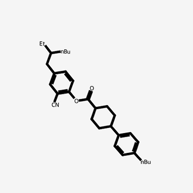 CCCCc1ccc(C2CCC(C(=O)Oc3ccc(CC(CC)CCCC)cc3C#N)CC2)cc1